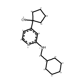 [C-]#[N+]C1(c2ccnc(NCC3CCCCC3)c2)CCCC1